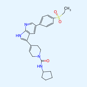 CCS(=O)(=O)c1ccc(-c2cnc3[nH]cc(C4=CCN(C(=O)NC5CCCC5)CC4)c3c2)cc1